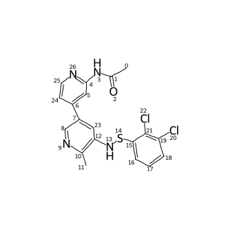 CC(=O)Nc1cc(-c2cnc(C)c(NSc3cccc(Cl)c3Cl)c2)ccn1